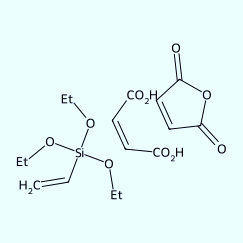 C=C[Si](OCC)(OCC)OCC.O=C(O)/C=C\C(=O)O.O=C1C=CC(=O)O1